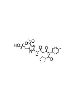 Cc1ccc(N(C(=O)CC(=O)Nc2nc(CC(=O)O)c(S(C)(=O)=O)s2)C(=O)C2CCCC2)cc1